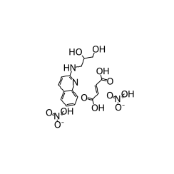 O=C(O)C=CC(=O)O.O=[N+]([O-])O.O=[N+]([O-])O.OCC(O)CNc1ccc2ccccc2n1